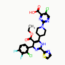 CCOC(=O)C1=C(C2CCN(c3ncc(Cl)c(C(=O)O)n3)CC2)NC(c2nccs2)=NC1c1ccc(F)c(F)c1Cl